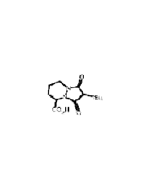 CC(C)(C)C1C(=O)N2CCCC(C(=O)O)N2C1=O